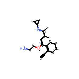 C#CC1=C(/C(=C\C(C)C(C)NC2CC2)OCCN)CCCC1